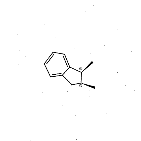 C[C@@H]1c2ccccc2[CH][C@@H]1C